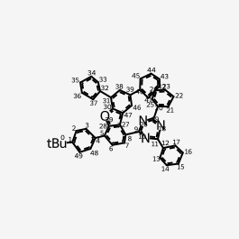 CC(C)(C)c1ccc(-c2ccc(-c3nc(-c4ccccc4)nc(-c4ccccc4)n3)c3c2oc2c(-c4ccccc4)cc(-c4ccccc4)cc23)cc1